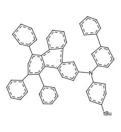 CC(C)(C)c1ccc(N(c2cccc(-c3ccccc3)c2)c2ccc3c(c2)c2ccccc2c2c(-c4ccccc4)cc(-c4ccccc4)c(-c4ccccc4)c32)cc1